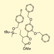 COC(=O)CC(CC[C@H](O[Si](C)(C)C(C)(C)C)c1ccc(F)cc1)C(=O)c1ccc(OCc2ccccc2)cc1OCc1ccccc1